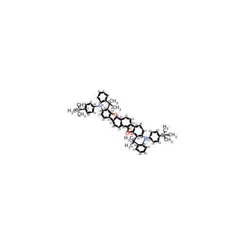 CC1(C)c2ccccc2N(c2ccc([Si](C)(C)C)cc2)c2ccc3c(oc4c3ccc3c4ccc4c5ccc6c(c5oc43)C(C)(C)c3ccccc3N6c3ccc([Si](C)(C)C)cc3)c21